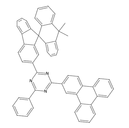 CC1(C)c2ccccc2C2(c3ccccc3-c3ccc(-c4nc(-c5ccccc5)nc(-c5ccc6c7ccccc7c7ccccc7c6c5)n4)cc32)c2ccccc21